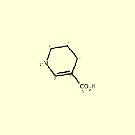 O=C(O)C1=C[N]CCC1